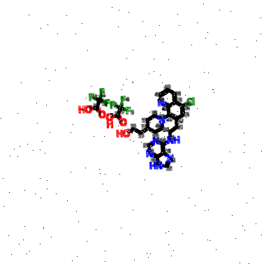 O=C(O)C(F)(F)F.O=C(O)C(F)(F)F.OCCC1CCN(c2c(CCNc3ncnc4[nH]cnc34)cc(Cl)c3cccnc23)CC1